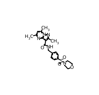 Cc1cc(C)n2nc(C)c(C(=O)NCc3ccc(S(=O)(=O)N4CCOCC4)cc3)c2n1